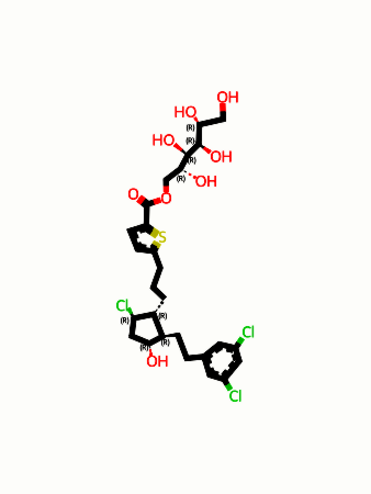 O=C(OC[C@@H](O)[C@@H](O)[C@H](O)[C@H](O)CO)c1ccc(CCC[C@@H]2[C@@H](CCc3cc(Cl)cc(Cl)c3)[C@H](O)C[C@H]2Cl)s1